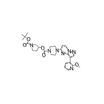 COc1ncccc1-c1cnn2ccc(N3CCN(C(=O)OC4CCN(C(=O)OC(C)(C)C)C4)CC3)nc12